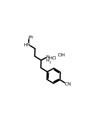 CC(C)NCCC(N)Cc1ccc(C#N)cc1.Cl.Cl